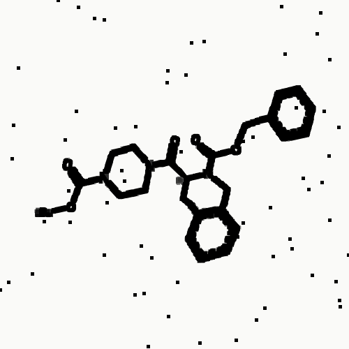 CC(C)(C)OC(=O)N1CCN(C(=O)[C@@H]2Cc3ccccc3CN2C(=O)OCc2ccccc2)CC1